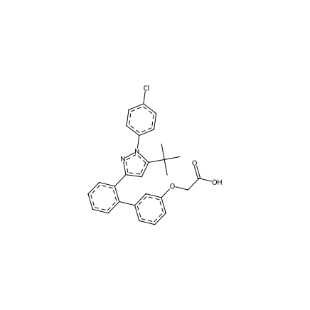 CC(C)(C)c1cc(-c2ccccc2-c2cccc(OCC(=O)O)c2)nn1-c1ccc(Cl)cc1